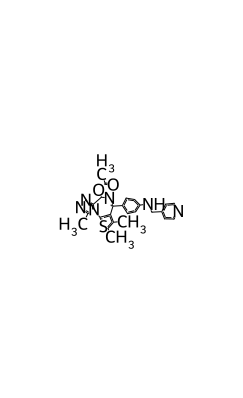 CC(=O)O[C@@H]1N=C(c2ccc(NCc3ccncc3)cc2)c2c(sc(C)c2C)-n2c(C)nnc21